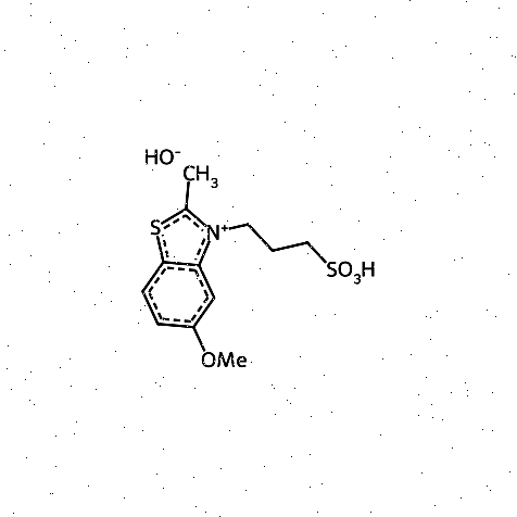 COc1ccc2sc(C)[n+](CCCS(=O)(=O)O)c2c1.[OH-]